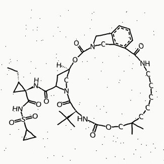 CC[C@H]1C[C@@]1(NC(=O)C1C[C@@H]2CN1C(=O)[C@H](C(C)(C)C)NC(=O)OCC(C)(C)CCCCCNC(=O)c1cccc3c1CN(C3)C(=O)O2)C(=O)NS(=O)(=O)C1CC1